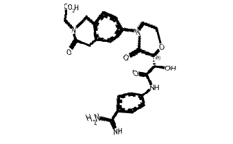 N=C(N)c1ccc(NC(=O)C(O)[C@H]2OCCN(c3ccc4c(c3)CC(=O)N(CC(=O)O)C4)C2=O)cc1